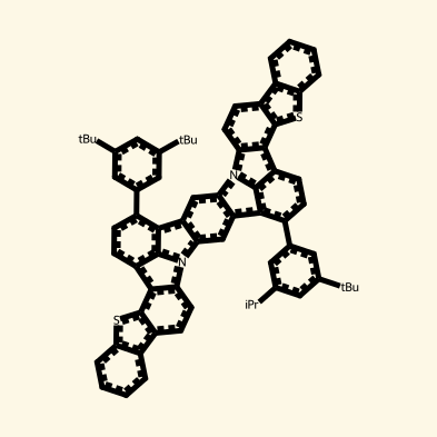 CC(C)c1cc(-c2ccc3c4c5sc6ccccc6c5ccc4n4c5cc6c7c(-c8cc(C(C)(C)C)cc(C(C)(C)C)c8)ccc8c9c%10sc%11ccccc%11c%10ccc9n(c6cc5c2c34)c87)cc(C(C)(C)C)c1